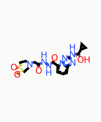 O=C(CN1CCS(=O)(=O)CC1)NNC(=O)c1cccc2nc(N[C@H](O)C3CC3)nn12